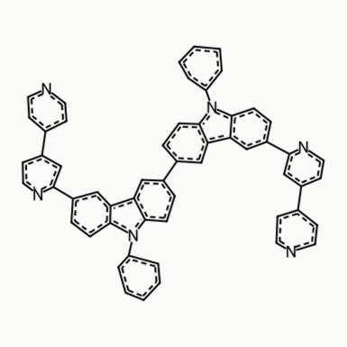 c1ccc(-n2c3ccc(-c4ccc5c(c4)c4cc(-c6cc(-c7ccncc7)ccn6)ccc4n5-c4ccccc4)cc3c3cc(-c4cc(-c5ccncc5)ccn4)ccc32)cc1